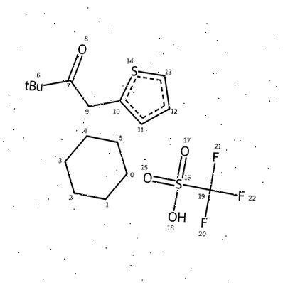 C1CCCCC1.CC(C)(C)C(=O)Cc1cccs1.O=S(=O)(O)C(F)(F)F